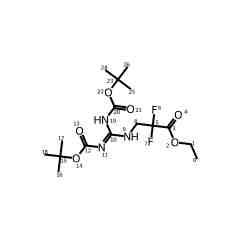 CCOC(=O)C(F)(F)CN/C(=N/C(=O)OC(C)(C)C)NC(=O)OC(C)(C)C